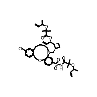 C=CC(C)OC(C)(C)C(=O)NS(=O)(=O)c1ccc2c(c1)N(C[C@@H]1CC[C@H]1[C@H](C=C)OC(=O)C(C)(C)OC(C)C=C)CCCCc1cc(Cl)ccc1CO2